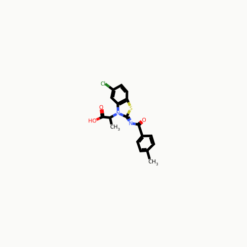 Cc1ccc(C(=O)N=c2sc3ccc(Cl)cc3n2C(C)C(=O)O)cc1